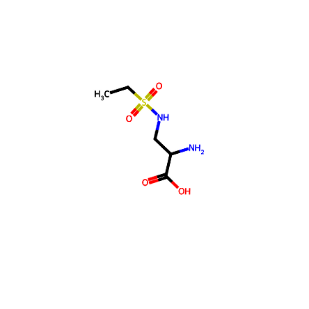 CCS(=O)(=O)NCC(N)C(=O)O